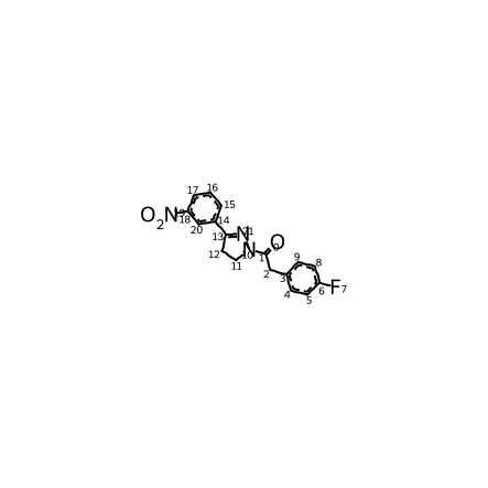 O=C(Cc1ccc(F)cc1)N1CCC(c2cccc([N+](=O)[O-])c2)=N1